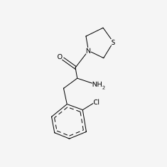 NC(Cc1ccccc1Cl)C(=O)N1CCSC1